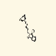 O=C1c2ccccc2C(=O)N1CCCCCCc1cccnc1